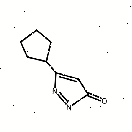 O=C1C=C(C2CCCC2)N=N1